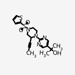 CC#CC1CN(S(=O)(=O)c2cccs2)CCN1c1ncc(C(C)(C)O)cn1